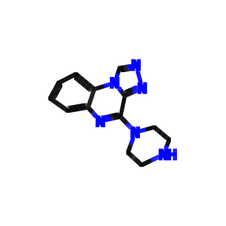 c1ccc2c(c1)nc(N1CCNCC1)c1nncn12